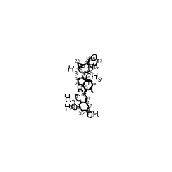 C=C1/C(=C\C=C2/CCC[C@]3(C)[C@@H](C(C)CN4CCOC[C@@H]4C4CC4)CC[C@@H]23)C[C@@H](O)C[C@@H]1O